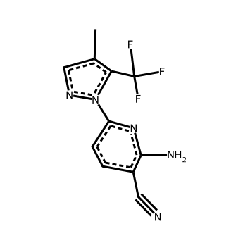 Cc1cnn(-c2ccc(C#N)c(N)n2)c1C(F)(F)F